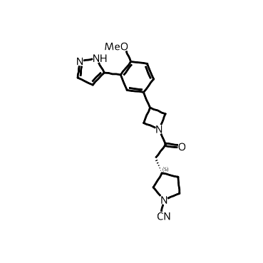 COc1ccc(C2CN(C(=O)C[C@@H]3CCN(C#N)C3)C2)cc1-c1ccn[nH]1